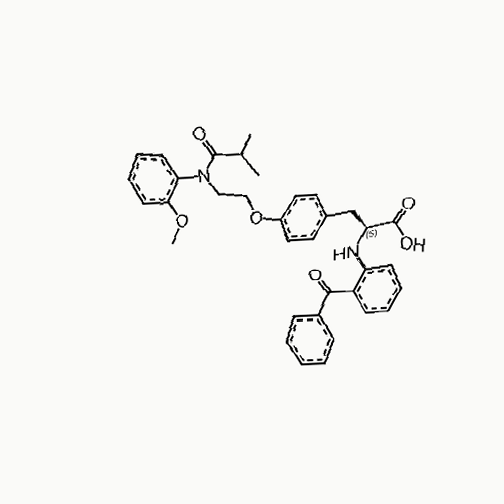 COc1ccccc1N(CCOc1ccc(C[C@H](Nc2ccccc2C(=O)c2ccccc2)C(=O)O)cc1)C(=O)C(C)C